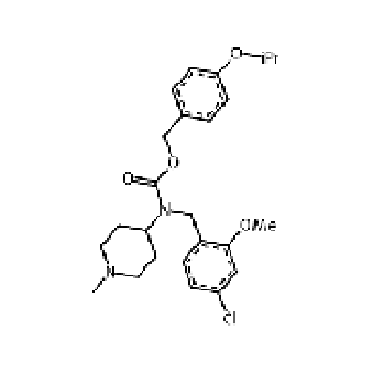 COc1cc(Cl)ccc1CN(C(=O)OCc1ccc(OC(C)C)cc1)C1CCN(C)CC1